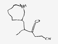 CC(C(=O)CC#N)C1CCCNC1